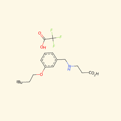 CC(C)(C)CCOc1cccc(CNCCC(=O)O)c1.O=C(O)C(F)(F)F